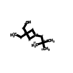 CCC1(CO)CN(CC(C)(C)C)C1